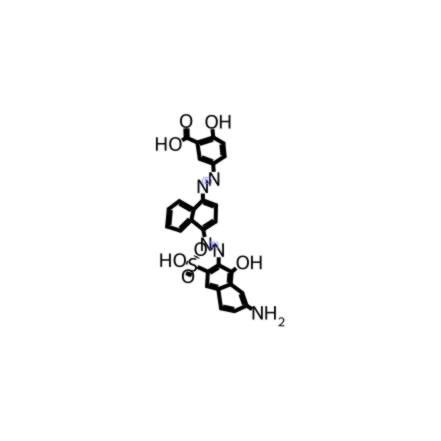 Nc1ccc2cc(S(=O)(=O)O)c(/N=N/c3ccc(/N=N/c4ccc(O)c(C(=O)O)c4)c4ccccc34)c(O)c2c1